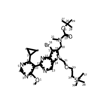 COc1ncnc(C2CC2)c1-c1ncc2c(n1)c(Br)c(CN(C)C(=O)OC(C)(C)C)n2COCC[Si](C)(C)C